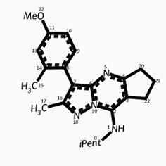 CCCC(C)Nc1c2c(nc3c(-c4ccc(OC)cc4C)c(C)nn13)CCC2